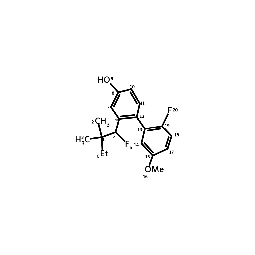 CCC(C)(C)C(F)c1cc(O)ccc1-c1cc(OC)ccc1F